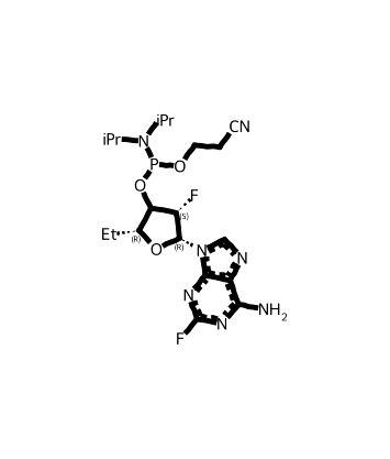 CC[C@H]1O[C@@H](n2cnc3c(N)nc(F)nc32)[C@@H](F)C1OP(OCCC#N)N(C(C)C)C(C)C